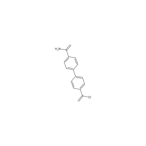 C=C(N)c1ccc(-c2ccc(C(=C)Cl)cc2)cc1